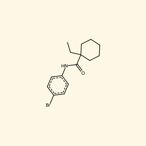 CCC1(C(=O)Nc2ccc(Br)cc2)CCCCC1